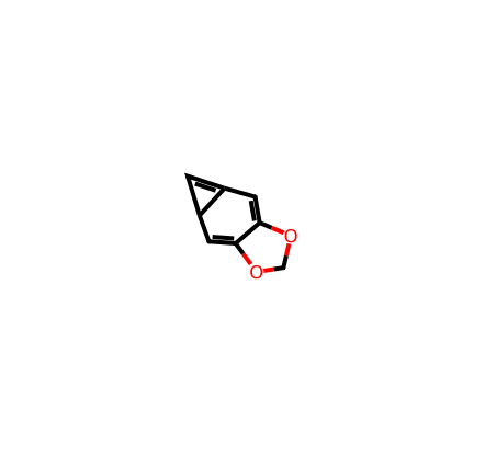 C1=C2OCOC2=CC2C=C12